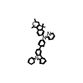 CC1CC2=C(c3ccc(N(c4ccc(-c5ccc6c(c5)c5ccccc5n6C5=CC=CCC5)cc4)c4ccccn4)cc3C2(C)C)C(C)C1